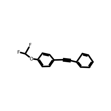 FC(F)Oc1ccc(C#Cc2c[c]ccc2)cc1